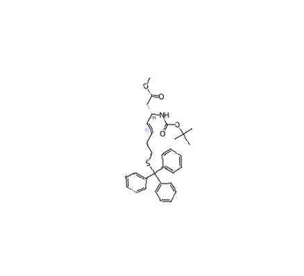 COC(=O)C[C@@H](/C=C/CCSC(c1ccccc1)(c1ccccc1)c1ccccc1)NC(=O)OC(C)(C)C